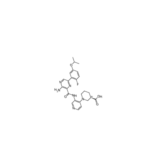 CC(C)Oc1ccc(F)c(-c2cnc(N)c(C(=O)Nc3cnccc3N3CCC[C@@H](C(=O)O)C3)n2)c1